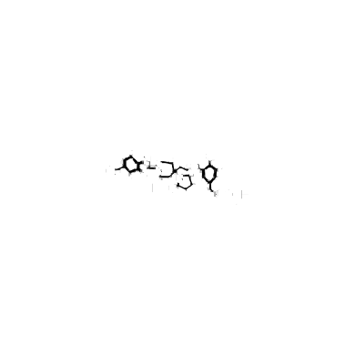 CC1CCCN1C1(CCOc2cc(CC(=O)O)ccc2Cl)CCN(c2nc3ccc(Cl)cc3s2)CC1